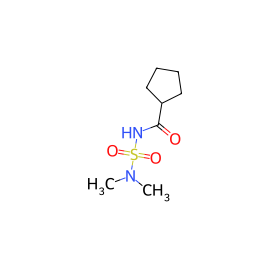 CN(C)S(=O)(=O)NC(=O)C1CCCC1